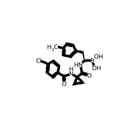 Cc1ccc(C[C@H](NC(=O)C2(NC(=O)c3ccc(Cl)cc3)CC2)B(O)O)cc1